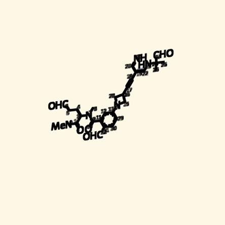 CNC(=O)C(CCC=O)N(C)C(=O)c1cc(N2CC(C#C/C(C=N)=C/NC(C)(C)C=O)C2)ccc1C=O